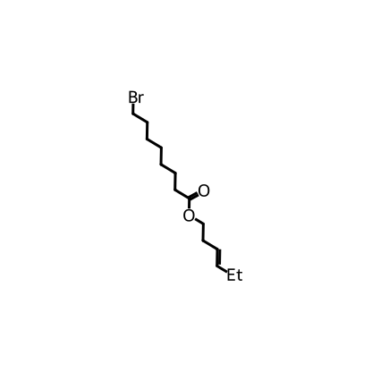 CCC=CCCOC(=O)CCCCCCCBr